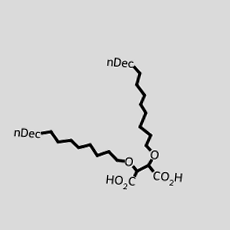 CCCCCCCCCCCCCCCCCCOC(C(=O)O)C(OCCCCCCCCCCCCCCCCCC)C(=O)O